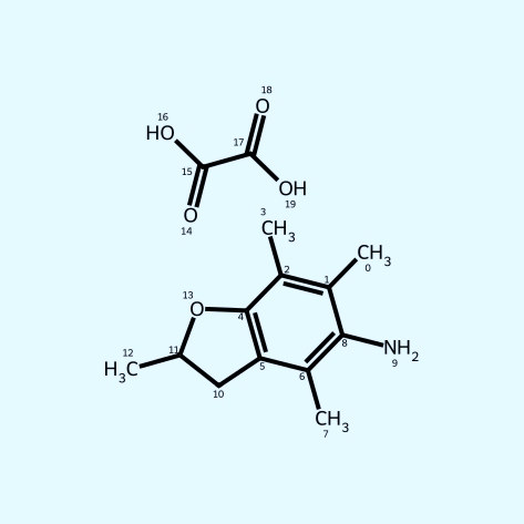 Cc1c(C)c2c(c(C)c1N)CC(C)O2.O=C(O)C(=O)O